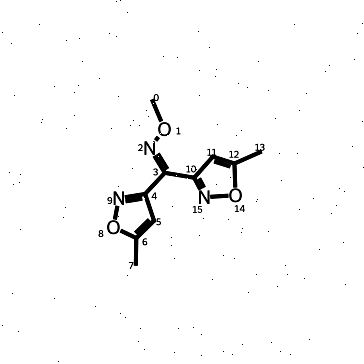 CON=C(c1cc(C)on1)c1cc(C)on1